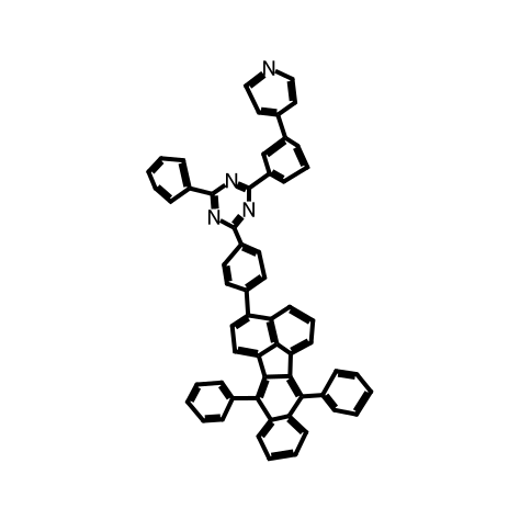 c1ccc(-c2nc(-c3ccc(-c4ccc5c6c(cccc46)-c4c-5c(-c5ccccc5)c5ccccc5c4-c4ccccc4)cc3)nc(-c3cccc(-c4ccncc4)c3)n2)cc1